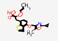 CCCOC(Cc1ccc(OCc2nc(C3CC3)oc2C)c2ccsc12)C(=O)O